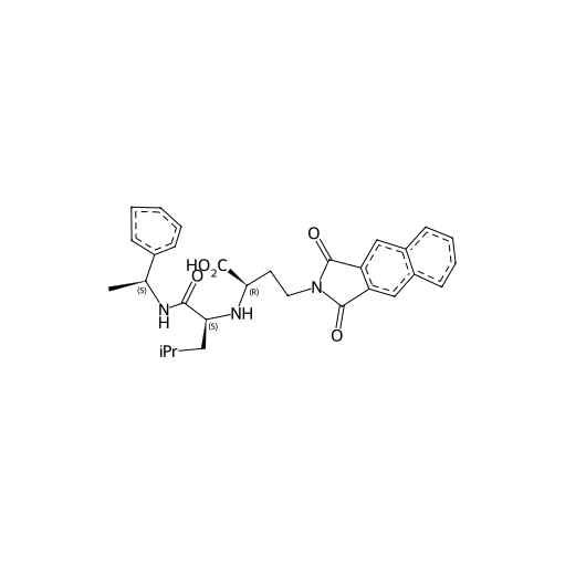 CC(C)C[C@H](N[C@H](CCN1C(=O)c2cc3ccccc3cc2C1=O)C(=O)O)C(=O)N[C@@H](C)c1ccccc1